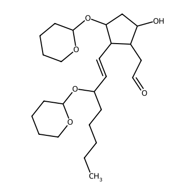 CCCCCC(C=CC1C(OC2CCCCO2)CC(O)C1CC=O)OC1CCCCO1